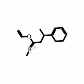 C=CO/C(=B\C)CC(C)C1=CC=CCC1